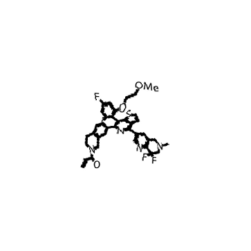 C=CC(=O)N1CCc2ccc(-c3nc(-c4cnc5c(c4)CN(C)CC5(F)F)c4ccsc4c3-c3c(F)cc(F)cc3OCCOC)cc2C1